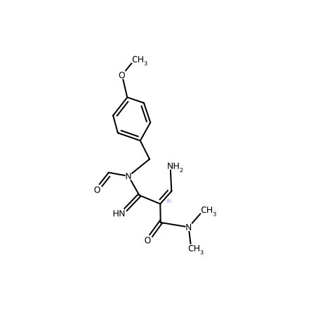 COc1ccc(CN(C=O)C(=N)/C(=C\N)C(=O)N(C)C)cc1